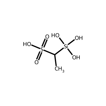 CC([Si](O)(O)O)S(=O)(=O)O